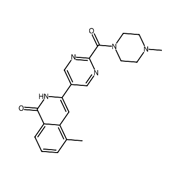 Cc1cccc2c(=O)[nH]c(-c3cnc(C(=O)N4CCN(C)CC4)nc3)cc12